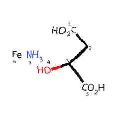 N.O=C(O)CC(O)C(=O)O.[Fe]